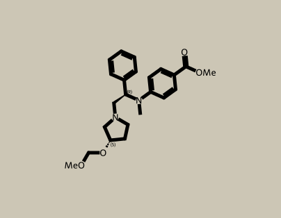 COCO[C@H]1CCN(C[C@@H](c2ccccc2)N(C)c2ccc(C(=O)OC)cc2)C1